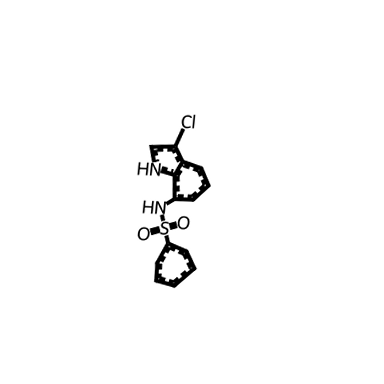 O=S(=O)(Nc1cccc2c(Cl)c[nH]c12)c1ccccc1